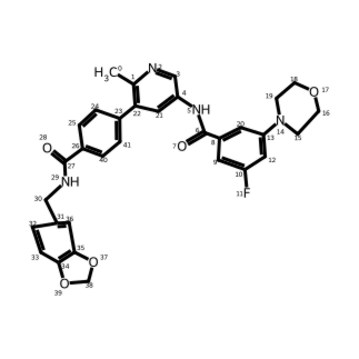 Cc1ncc(NC(=O)c2cc(F)cc(N3CCOCC3)c2)cc1-c1ccc(C(=O)NCc2ccc3c(c2)OCO3)cc1